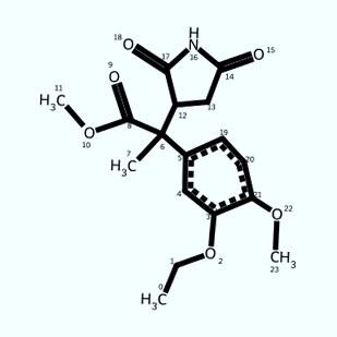 CCOc1cc(C(C)(C(=O)OC)C2CC(=O)NC2=O)ccc1OC